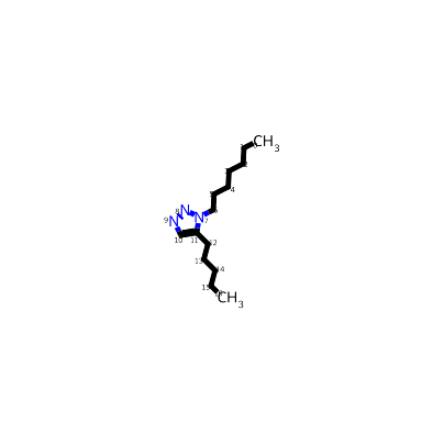 CCCCCCCn1nncc1CCCCC